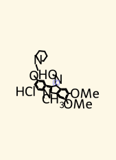 COc1cc2c(cc1OC)-c1c(c3cc(OCCN4CCCCC4)ccc3n1C)/C2=N\O.Cl